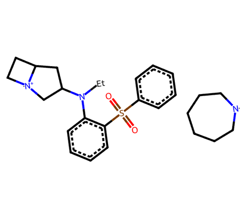 C1CCC[N]CC1.CCN(c1ccccc1S(=O)(=O)c1ccccc1)C1CC2CC[N+]2C1